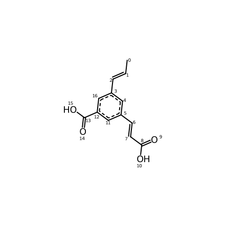 CC=Cc1cc(C=CC(=O)O)cc(C(=O)O)c1